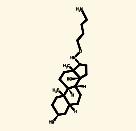 C[C@]12CC[C@H](O)C[C@H]1CC[C@@H]1[C@@H]2CC[C@]2(C)[C@@H](NOCCCCN)CC[C@]12O